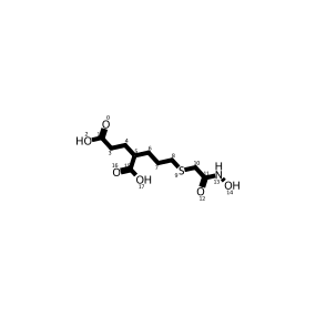 O=C(O)CCC(CCCSCC(=O)NO)C(=O)O